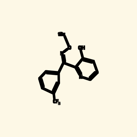 CC(C)(C)ON=C(c1cccc(C(F)(F)F)c1)c1ncccc1O